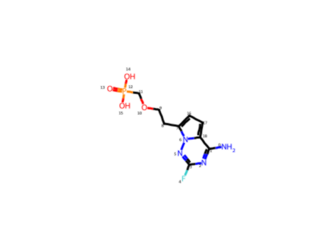 Nc1nc(F)nn2c(CCOCP(=O)(O)O)ccc12